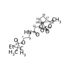 CCC(C)(C)C(=O)OCCNC(=O)COC1C2CC3C(C2)S(=O)(=O)OC31C